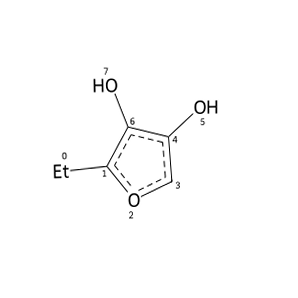 CCc1occ(O)c1O